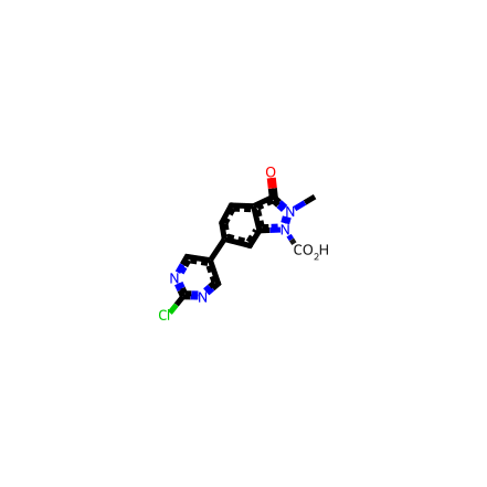 Cn1c(=O)c2ccc(-c3cnc(Cl)nc3)cc2n1C(=O)O